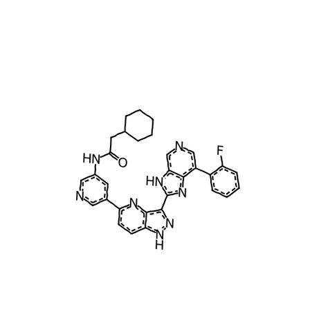 O=C(CC1CCCCC1)Nc1cncc(-c2ccc3[nH]nc(-c4nc5c(-c6ccccc6F)cncc5[nH]4)c3n2)c1